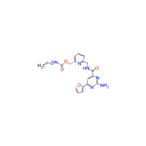 C=CCNC(=O)OCc1cccc(CNC(=O)c2cc(-c3ccco3)nc(N)n2)n1